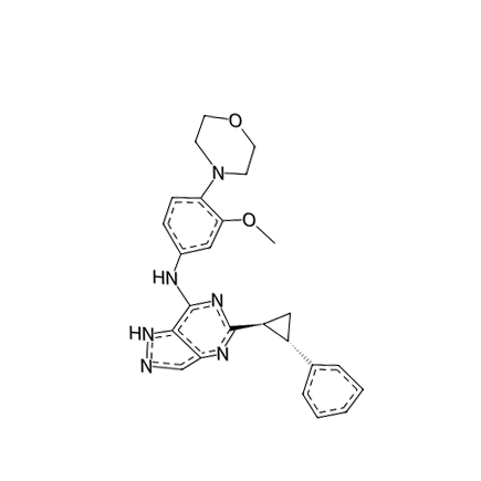 COc1cc(Nc2nc([C@H]3C[C@@H]3c3ccccc3)nc3cn[nH]c23)ccc1N1CCOCC1